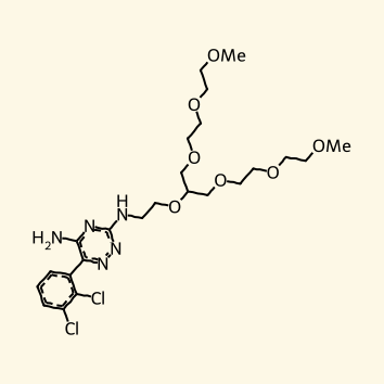 COCCOCCOCC(COCCOCCOC)OCCNc1nnc(-c2cccc(Cl)c2Cl)c(N)n1